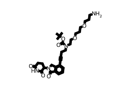 CC(C)(C)OC(=O)N(CCC#Cc1cccc2c1CN(C1CCC(=O)NC1=O)C2=O)CCOCCCOCCCN